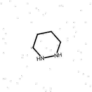 [C]1CCCNN1